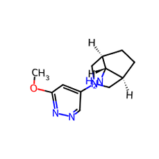 COc1cc(N2C[C@H]3CC[C@@H](C2)[C@@H]3N)cnn1